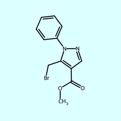 COC(=O)c1cnn(-c2ccccc2)c1CBr